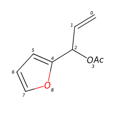 C=CC(OC(C)=O)c1ccco1